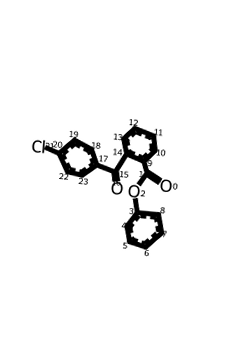 O=C(Oc1ccccc1)c1ccccc1C(=O)c1ccc(Cl)cc1